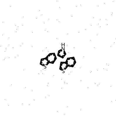 c1cc[nH]c1.c1ccc2sccc2c1.c1ccc2sccc2c1